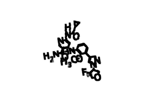 COc1c(Nc2cc(NC(=O)C3CC3)ncc2C(N)=O)cccc1-c1cnn(C2COC[C@H]2F)c1